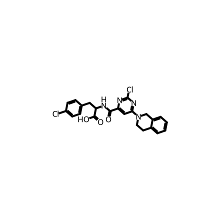 O=C(NC(Cc1ccc(Cl)cc1)C(=O)O)c1cc(N2CCc3ccccc3C2)nc(Cl)n1